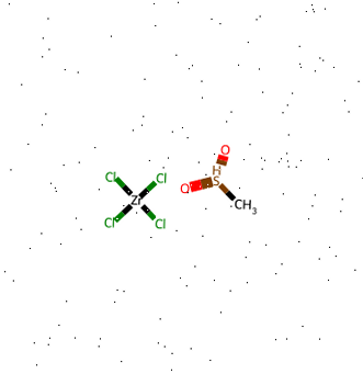 C[SH](=O)=O.[Cl][Zr]([Cl])([Cl])[Cl]